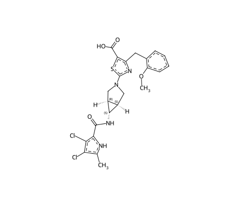 COc1ccccc1Cc1nc(N2C[C@@H]3[C@H](C2)[C@H]3NC(=O)c2[nH]c(C)c(Cl)c2Cl)sc1C(=O)O